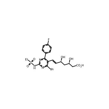 CCS(=O)(=O)Nc1nc(-c2ccc(F)cc2)c(/C=C/[C@@H](O)C[C@@H](O)CC(=O)O)c(C(C)C)n1